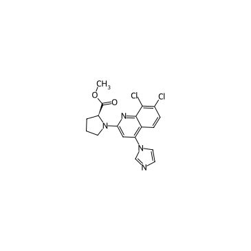 COC(=O)[C@@H]1CCCN1c1cc(-n2ccnc2)c2ccc(Cl)c(Cl)c2n1